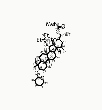 CC[Si](CC)(CC)O[C@H]1[C@H]2O[C@@H]([C@H](OC(=O)NC)C(C)C)C[C@@H](C)[C@@H]2[C@@]2(C)CCC34C[C@@]35CC[C@H](O[C@H]3CCCCO3)C(C)(C)[C@@H]5CC[C@H]4[C@]12C